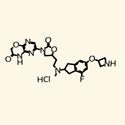 CN(CCC1CN(c2cnc3c(n2)NC(=O)CO3)C(=O)O1)C1Cc2cc(OC3CNC3)cc(F)c2C1.Cl